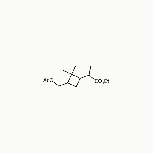 CCOC(=O)C(C)C1CC(COC(C)=O)C1(C)C